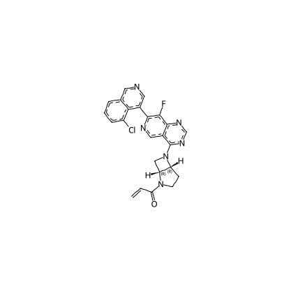 C=CC(=O)N1CC[C@@H]2[C@H]1CN2c1ncnc2c(F)c(-c3cncc4cccc(Cl)c34)ncc12